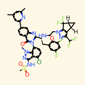 Cc1cc(C)nc(-c2ccc3c(=O)n(-c4ccc(Cl)c5c(NS(C)(=O)=O)nn(C)c45)c([C@H](Cc4cc(F)cc(F)c4)NC(=O)Cn4nc(C(F)F)c5c4C(F)(F)[C@@H]4C[C@H]54)nc3c2)c1